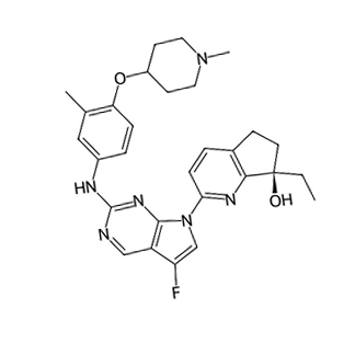 CC[C@@]1(O)CCc2ccc(-n3cc(F)c4cnc(Nc5ccc(OC6CCN(C)CC6)c(C)c5)nc43)nc21